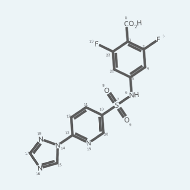 O=C(O)c1c(F)cc(NS(=O)(=O)c2ccc(-n3cncn3)nc2)cc1F